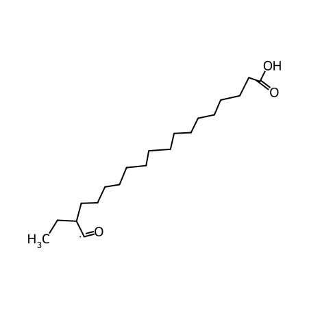 CCC([C]=O)CCCCCCCCCCCCCCCC(=O)O